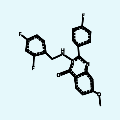 COc1ccc2c(=O)n(NCc3ccc(F)cc3F)c(-c3ccc(F)cc3)nc2c1